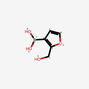 OCc1occc1B(O)O